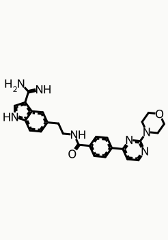 N=C(N)c1c[nH]c2ccc(CCNC(=O)c3ccc(-c4ccnc(N5CCOCC5)n4)cc3)cc12